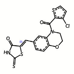 O=C1NC(=S)S/C1=C\c1ccc2c(c1)N(C(=O)c1sccc1Cl)CCO2